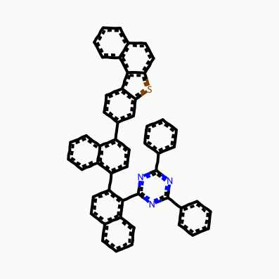 c1ccc(-c2nc(-c3ccccc3)nc(-c3c(-c4ccc(-c5ccc6c(c5)sc5ccc7ccccc7c56)c5ccccc45)ccc4ccccc34)n2)cc1